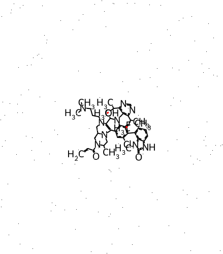 C=CC(=O)N1CC2CN(CCCN(C)C)C3=C(c4cc(Cl)c(-c5c(C)ccc6[nH]c(=O)n(C)c56)c(F)c4N(c4c(C(C)C)ncnc4C(C)C)C3O)N2CC1C